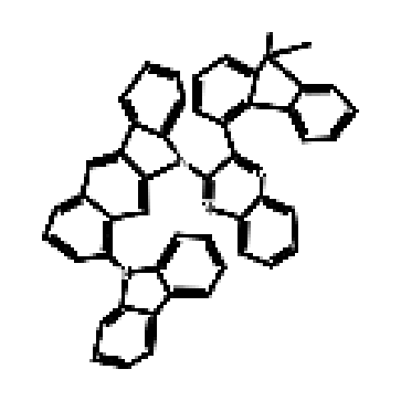 CC1(C)c2ccccc2-c2c(-c3nc4ccccc4nc3-n3c4ccccc4c4cc5cccc(-n6c7ccccc7c7ccccc76)c5cc43)cccc21